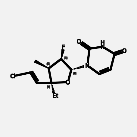 CC[C@@]1(C=CCl)O[C@@H](n2ccc(=O)[nH]c2=O)[C@H](F)[C@@H]1C